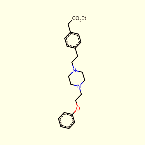 CCOC(=O)Cc1ccc(CCN2CCN(CCOc3ccccc3)CC2)cc1